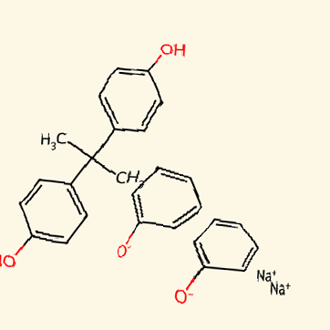 CC(C)(c1ccc(O)cc1)c1ccc(O)cc1.[Na+].[Na+].[O-]c1ccccc1.[O-]c1ccccc1